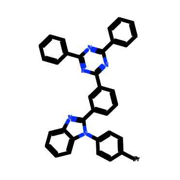 CC(C)c1ccc(-n2c(-c3cccc(-c4nc(-c5ccccc5)nc(-c5ccccc5)n4)c3)nc3ccccc32)cc1